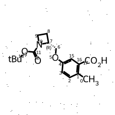 Cc1ccc(OC[C@H]2CCN2C(=O)OC(C)(C)C)cc1C(=O)O